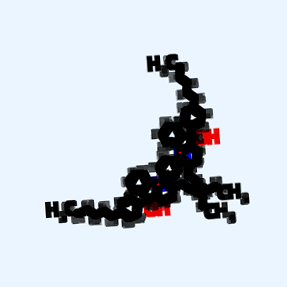 CCCCCCc1ccc(C(O)(c2ccc(CCCCCC)cc2)c2ccccc2Nc2ccc(Nc3ccccc3C(O)(c3ccc(CCCCCC)cc3)c3ccc(CCCCCC)cc3)cc2)cc1